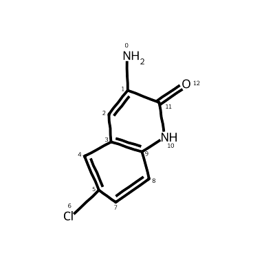 Nc1cc2cc(Cl)ccc2[nH]c1=O